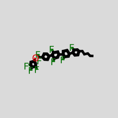 CCCCCc1ccc(-c2ccc(-c3cc(F)c(-c4ccc(C(F)(F)Oc5cc(F)c(F)c(F)c5)cc4)c(F)c3)c(F)c2)c(F)c1